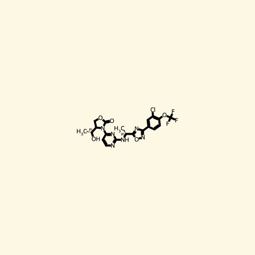 C[C@@H](Nc1nccc(N2C(=O)OCC2[C@@H](C)O)n1)c1nc(-c2ccc(OC(F)(F)F)c(Cl)c2)no1